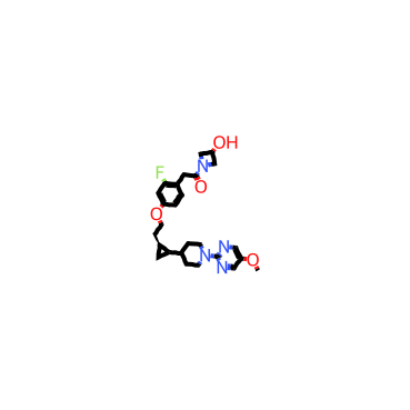 COc1cnc(N2CCC(C3C[C@H]3CCOc3ccc(CC(=O)N4CC(O)C4)c(F)c3)CC2)nc1